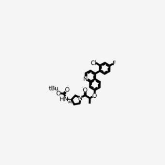 CC(Oc1ccc2c(-c3ccc(F)cc3Cl)ccnc2c1)C(=O)N1CC[C@@H](NC(=O)OC(C)(C)C)C1